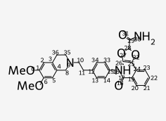 COc1cc2c(cc1OC)CN(CCc1ccc(NC(=O)c3ccccc3C3=[C]OC(C(N)=O)O3)cc1)CC2